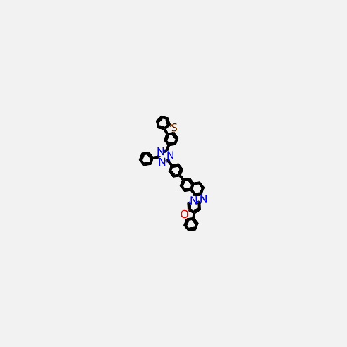 c1ccc(-c2nc(-c3ccc(-c4ccc5c(c4)CCc4nc6cc7c(cn6c4-5)oc4ccccc47)cc3)nc(-c3ccc4sc5ccccc5c4c3)n2)cc1